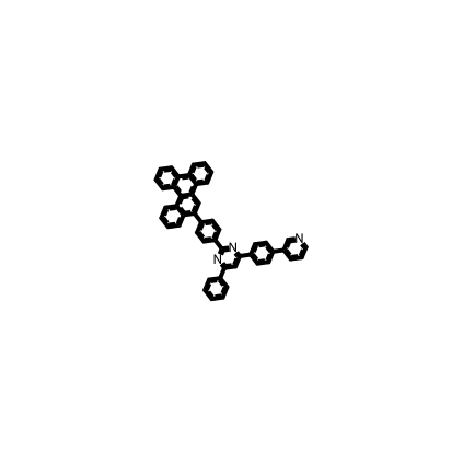 c1ccc(-c2cc(-c3ccc(-c4cccnc4)cc3)nc(-c3ccc(-c4cc5c6ccccc6c6ccccc6c5c5ccccc45)cc3)n2)cc1